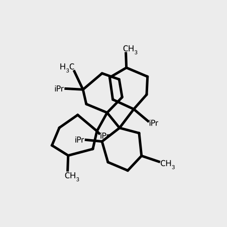 CC1CCC(C(C)C)(C2(C3(C4(C(C)C)CCCC(C)C4)CCCC(C)(C(C)C)C3)CC(C)CCC2C(C)C)CC1